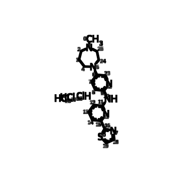 CN1CCCN(c2ccc(Nc3cccc(-c4nccs4)n3)nc2)CC1.Cl.Cl.Cl